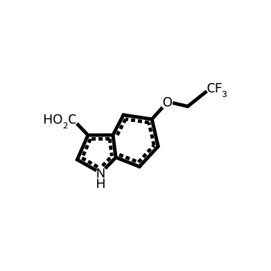 O=C(O)c1c[nH]c2ccc(OCC(F)(F)F)cc12